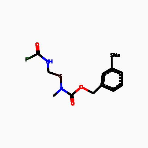 CSc1cccc(COC(=O)N(C)SCNC(=O)F)c1